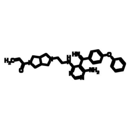 C=CC(=O)N1CC2CN(CCNc3ncnc(N)c3C(=N)c3ccc(Oc4ccccc4)cc3)CC2C1